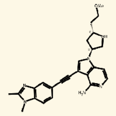 COCC[C@H]1C[C@H](n2cc(C#Cc3ccc4c(c3)nc(C)n4C)c3c(N)nccc32)CN1